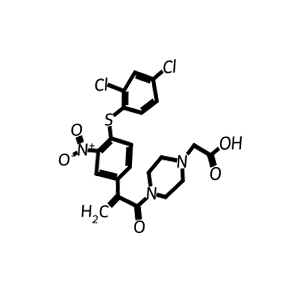 C=C(C(=O)N1CCN(CC(=O)O)CC1)c1ccc(Sc2ccc(Cl)cc2Cl)c([N+](=O)[O-])c1